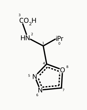 CC(C)C(NC(=O)O)c1nnco1